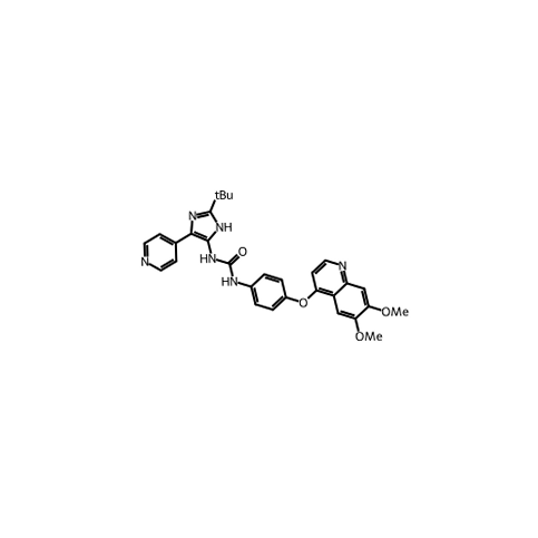 COc1cc2nccc(Oc3ccc(NC(=O)Nc4[nH]c(C(C)(C)C)nc4-c4ccncc4)cc3)c2cc1OC